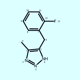 [CH2]c1nn[nH]c1Cc1ccccc1F